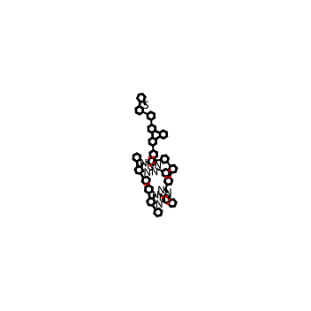 c1ccc(-c2nc(-c3ccc(-c4cccc(-c5cccc(-c6ccc(-n7c8ccccc8c8ccc9c%10ccccc%10n(-c%10nc(-c%11ccccc%11)nc(-c%11ccc(-c%12ccc%13c%14ccc(-c%15cccc(-c%16cccc%17c%16sc%16ccccc%16%17)c%15)cc%14c%14ccccc%14c%13c%12)cc%11)n%10)c9c87)cc6)c5)c4)cc3)nc(-n3c4ccccc4c4ccc5c6ccccc6n(-c6ccccc6)c5c43)n2)cc1